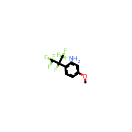 COc1ccc(C(F)(C(F)(F)F)C(F)(F)F)c(N)c1